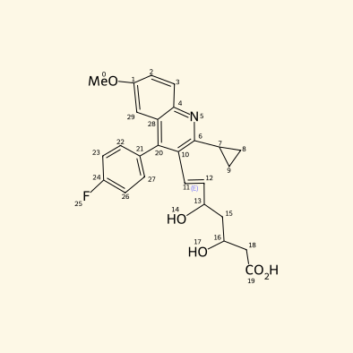 COc1ccc2nc(C3CC3)c(/C=C/C(O)CC(O)CC(=O)O)c(-c3ccc(F)cc3)c2c1